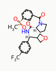 CS(=O)(=O)c1cccc(C(=O)N2CCC[C@@H]2C(=O)N[C@@H](c2ccc(C(F)(F)F)cc2)C2COC2)c1